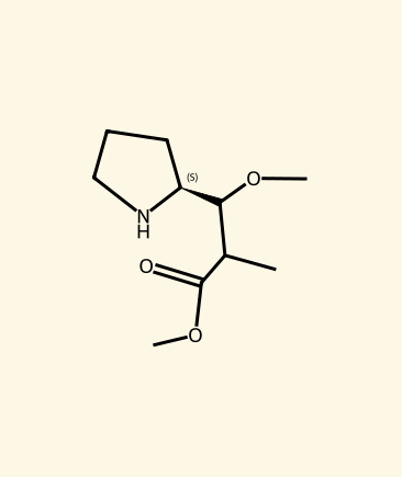 COC(=O)C(C)C(OC)[C@@H]1CCCN1